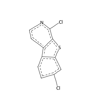 Clc1ccc2c(c1)sc1c(Cl)nccc12